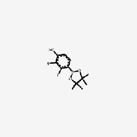 CC1(C)OB(c2ccc(C#N)c(F)c2F)OC1(C)C